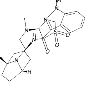 CC(C)n1nc(C(=O)N[C@@H]2C[C@H]3CC[C@@H](C2)N3CCN(C)[C@H]2CCS(=O)(=O)C2)c2ccccc21